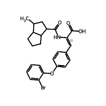 CC1CC(C(=O)N/C(=C\c2ccc(Oc3ccccc3Br)cc2)C(=O)O)C2CCCC12